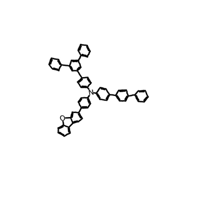 c1ccc(-c2ccc(-c3ccc(N(c4ccc(-c5cc(-c6ccccc6)cc(-c6ccccc6)c5)cc4)c4ccc(-c5ccc6c(c5)oc5ccccc56)cc4)cc3)cc2)cc1